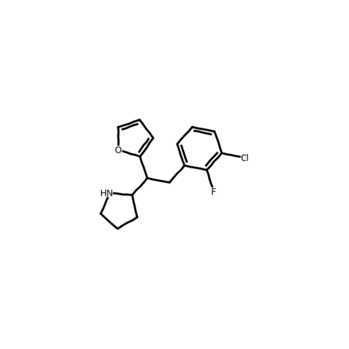 Fc1c(Cl)cccc1CC(c1ccco1)C1CCCN1